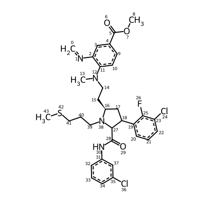 C=Nc1cc(C(=O)OC)ccc1N(C)CC[C@H]1CC(c2cccc(Cl)c2F)C(C(=O)Nc2cccc(Cl)c2)N1CCCSC